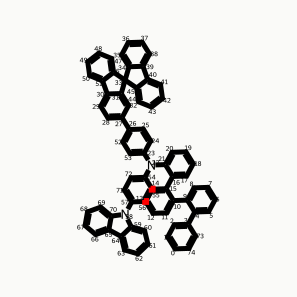 c1ccc(-c2ccccc2-c2ccccc2-c2ccccc2N(c2ccc(-c3ccc4c(c3)C3(c5ccccc5-c5ccccc53)c3ccccc3-4)cc2)c2ccc(-n3c4ccccc4c4ccccc43)cc2)cc1